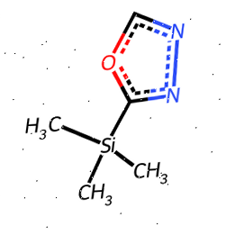 C[Si](C)(C)c1nnco1